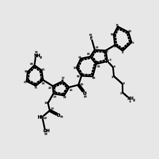 NCCCCn1c(-c2ccccc2)c(F)c2ccc(C(=O)c3cc(CC(=O)NO)c(-c4cccc(N)c4)s3)cc21